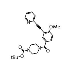 COc1ccc(C(=O)N2CCN(C(=O)OC(C)(C)C)CC2)cc1C#Cc1ccccn1